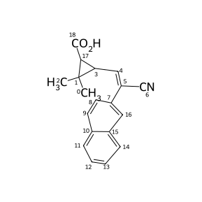 CC1(C)C(/C=C(/C#N)c2ccc3ccccc3c2)C1C(=O)O